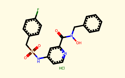 Cl.O=C(c1cc(NS(=O)(=O)Cc2ccc(F)cc2)ccn1)N(O)Cc1ccccc1